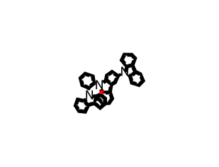 c1ccc(-n2c3ccccc3c3cc(-n4c5ccccc5c5ccccc54)ccc32)c(-n2c3ccccc3c3ccccc32)c1